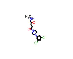 CNCC(=O)CCC(=O)N1CCN(c2cc(Cl)cc(Cl)c2)CC1